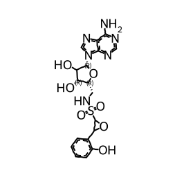 Nc1ncnc2c1ncn2[C@@H]1O[C@H](CNS(=O)(=O)C2OC2c2ccccc2O)[C@H](O)C1O